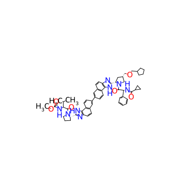 COC(=O)N[C@H](C(=O)N1CCC[C@H]1c1nc2ccc3cc(-c4ccc5c(ccc6nc([C@@H]7C[C@H](COCC8CCCC8)CN7C(=O)[C@H](NC(=O)C7CC7)c7ccccc7)[nH]c65)c4)ccc3c2[nH]1)C(C)C